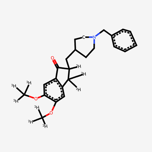 [2H]C([2H])([2H])Oc1cc2c(cc1OC([2H])([2H])[2H])C([2H])([2H])C([2H])(CC1CCN(Cc3ccccc3)CC1)C2=O